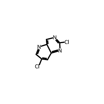 Clc1cnc2cnc(Cl)nc2c1